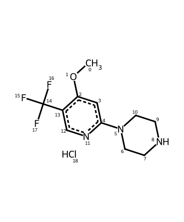 COc1cc(N2CCNCC2)ncc1C(F)(F)F.Cl